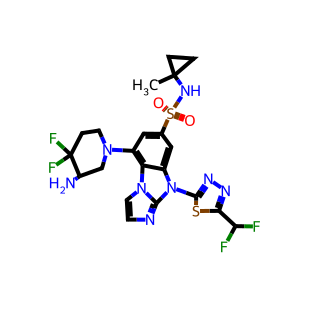 CC1(NS(=O)(=O)c2cc(N3CCC(F)(F)C(N)C3)c3c(c2)n(-c2nnc(C(F)F)s2)c2nccn32)CC1